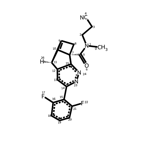 CN(CCC#N)C(=O)[C@@]12CC3=C1[C@H]3c1cc(-c3c(F)cccc3F)nnc12